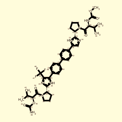 COC(=O)N[C@H](C(=O)N1CCC[C@H]1c1ncc(-c2ccc(-c3ccc(-c4[nH]c([C@@H]5CCCN5C(=O)[C@@H](OC(N)=O)C(C)C)nc4C(F)(F)F)cc3)cc2)[nH]1)C(C)C